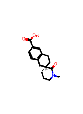 CN1CCC[C@]2(CCc3cc(C(=O)O)ccc3C2)C1=O